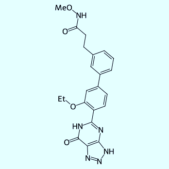 CCOc1cc(-c2cccc(CCC(=O)NOC)c2)ccc1-c1nc2[nH]nnc2c(=O)[nH]1